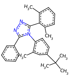 Cc1cc(C(C)(C)C)ccc1-n1c(-c2ccccc2)nnc1-c1c(C)cccc1C